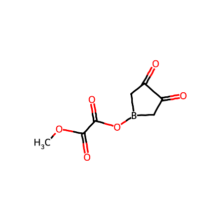 COC(=O)C(=O)OB1CC(=O)C(=O)C1